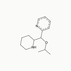 CC(C)OC(c1ccccn1)C1CCCCN1